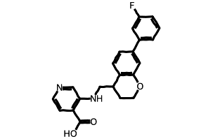 O=C(O)c1ccncc1NCC1CCOc2cc(-c3cccc(F)c3)ccc21